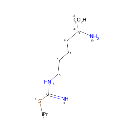 CC(C)SC(=N)NCCCC[C@@H](N)C(=O)O